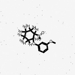 [2H]C1([2H])C([2H])([2H])C([2H])([2H])C([2H])([N+](=O)[O-])C([2H])(Oc2cccc(OC)c2)C1([2H])[2H]